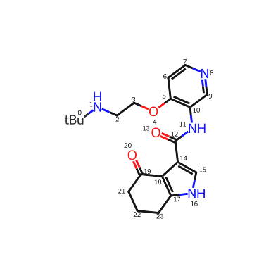 CC(C)(C)NCCOc1ccncc1NC(=O)c1c[nH]c2c1C(=O)CCC2